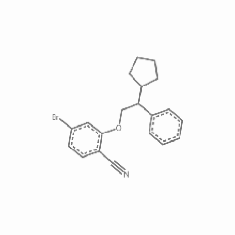 N#Cc1ccc(Br)cc1OCC(c1ccccc1)C1CCCC1